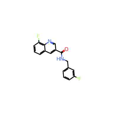 O=C(NCc1cccc(F)c1)c1cnc2c(F)cccc2c1